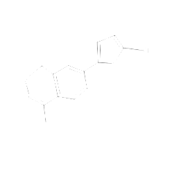 CC1=NOCc2cc(-c3ccc(Cl)s3)ccc21